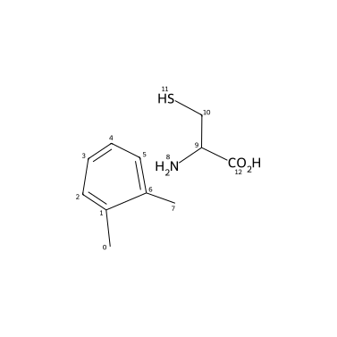 Cc1ccccc1C.NC(CS)C(=O)O